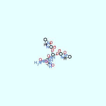 COc1cc2c(cc1OCc1cc(COc3cc4c(cc3OC)C(=O)N3Cc5ccccc5C[C@H]3C=N4)cc(NC(=O)[C@H](CCCNC(N)=O)NC(=O)[C@@H](NC=O)C(C)C)c1)N=C[C@@H]1Cc3ccccc3CN1C2=O